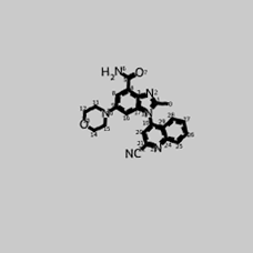 Cc1nc2c(C(N)=O)cc(N3CCOCC3)cc2n1-c1cc(C#N)nc2ccccc12